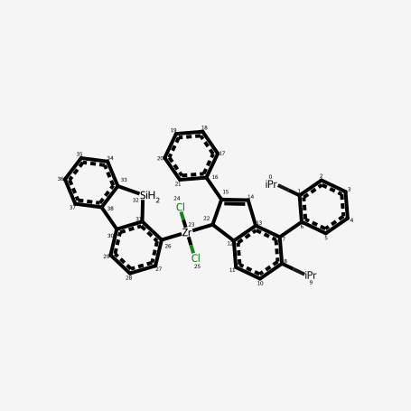 CC(C)c1ccccc1-c1c(C(C)C)ccc2c1C=C(c1ccccc1)[CH]2[Zr]([Cl])([Cl])[c]1cccc2c1[SiH2]c1ccccc1-2